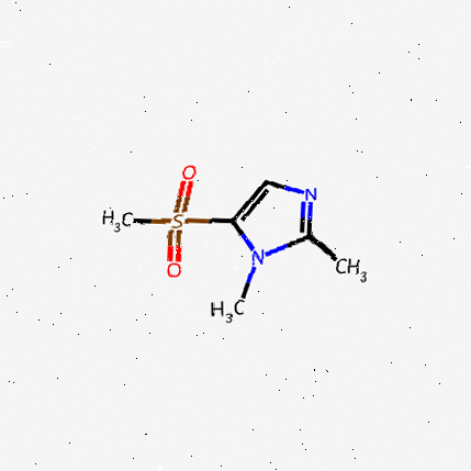 Cc1ncc(S(C)(=O)=O)n1C